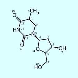 CC1CN([C@H]2C[C@@H](O)C(CO)O2)C(=O)NC1=O